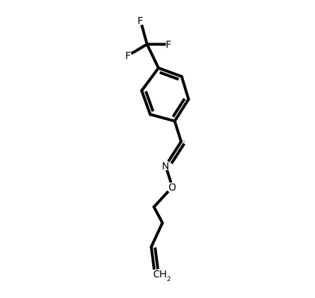 C=CCCON=[C]c1ccc(C(F)(F)F)cc1